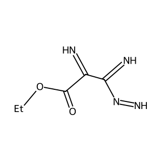 CCOC(=O)C(=N)C(=N)N=N